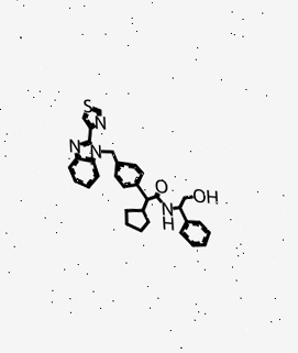 O=C(NC(CO)c1ccccc1)C(c1ccc(Cn2c(-c3cscn3)nc3ccccc32)cc1)C1CCCC1